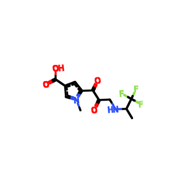 CC(NCC(=O)C(=O)c1cc(C(=O)O)cn1C)C(F)(F)F